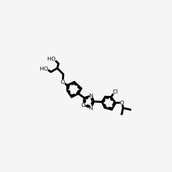 CC(C)Oc1ccc(-c2noc(-c3ccc(OCC(CO)CO)cc3)n2)cc1Cl